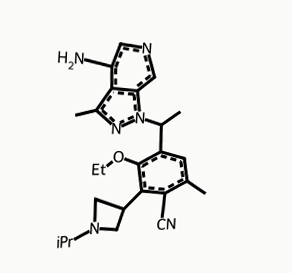 CCOc1c(C(C)n2nc(C)c3c(N)cncc32)cc(C)c(C#N)c1C1CN(C(C)C)C1